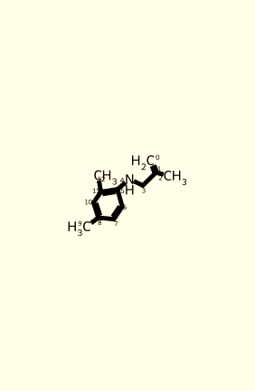 C=C(C)CNc1ccc(C)cc1C